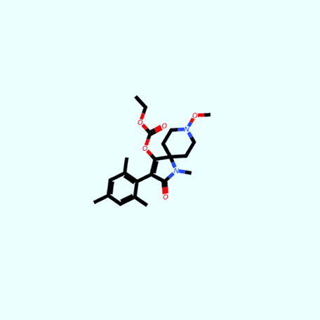 CCOC(=O)OC1=C(c2c(C)cc(C)cc2C)C(=O)N(C)C12CCN(OC)CC2